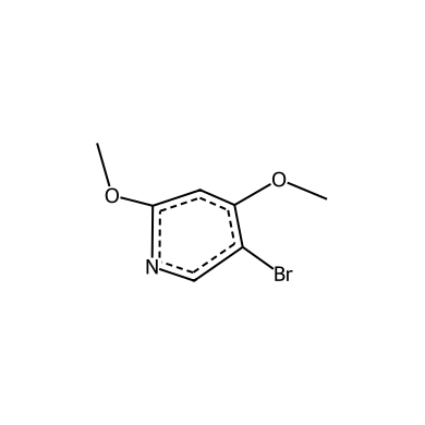 COc1cc(OC)c(Br)cn1